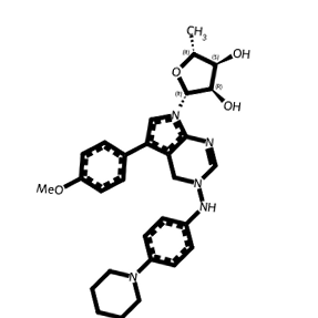 COc1ccc(-c2cn([C@@H]3O[C@H](C)[C@@H](O)[C@H]3O)c3c2CN(Nc2ccc(N4CCCCC4)cc2)C=N3)cc1